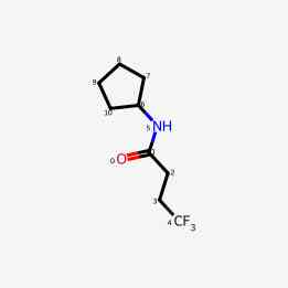 O=C(CCC(F)(F)F)NC1CCCC1